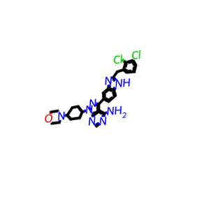 Nc1ncnc2c1c(-c1ccc3[nH]c(Cc4cccc(Cl)c4Cl)nc3c1)nn2C1CCC(N2CCOCC2)CC1